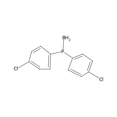 BP(c1ccc(Cl)cc1)c1ccc(Cl)cc1